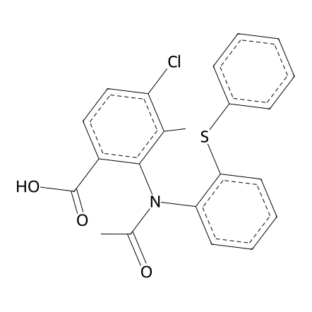 CC(=O)N(c1ccccc1Sc1ccccc1)c1c(C(=O)O)ccc(Cl)c1C